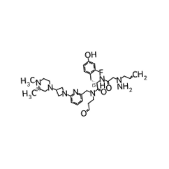 C=CCN(N)CC(=O)N[C@@H](Cc1ccc(O)cc1F)C(=O)N(CCC=O)Cc1cccc(N2CC(N3CCN(C)[C@@H](C)C3)C2)n1